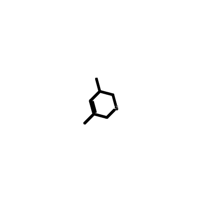 CC1=CC(C)CSC1